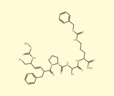 COC(=O)C(CCCNC(=O)OCc1ccccc1)NC(=O)C(NC(=O)[C@@H]1CCCN1C(=O)C(/C=C/C(CC(C)C)NC(=O)OC(C)(C)C)Cc1ccccc1)C(C)C